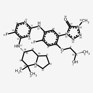 C[C@H](O)COc1cc(F)c(Nc2ncc(F)c(N[C@@H]3CC4CCCN4C(C)(C)C3)n2)cc1-n1nnn(C)c1=O